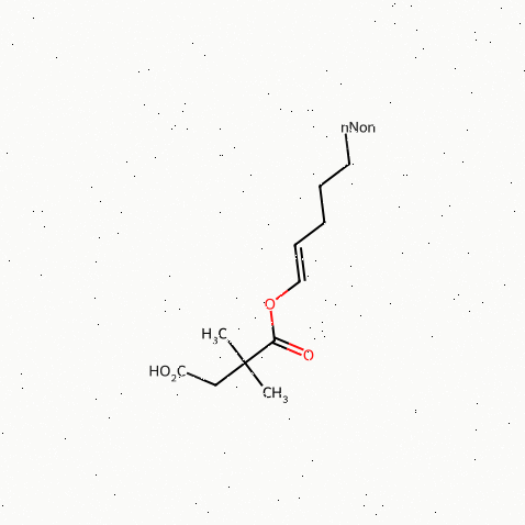 CCCCCCCCCCCCC=COC(=O)C(C)(C)CC(=O)O